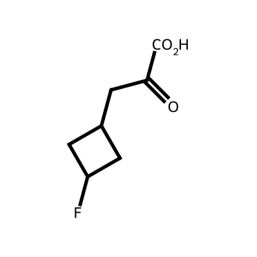 O=C(O)C(=O)CC1CC(F)C1